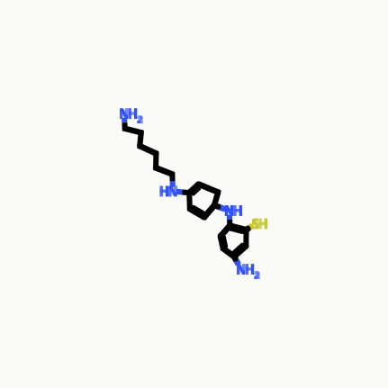 NCCCCCCNC1=CCC(Nc2ccc(N)cc2S)C=C1